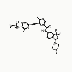 Cc1ccc(C(=O)Nc2ccc3c(c2)C(F)(F)CC3N2CCN(C)CC2)cc1C#Cc1cnc(NC(=O)C2CC2)c(C)n1